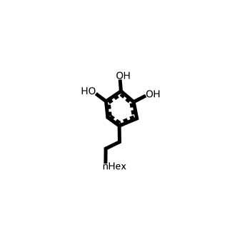 CCCCCCCCc1cc(O)c(O)c(O)c1